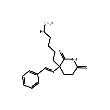 O=C(O)NCCCCC1(/N=C/c2ccccc2)CCC(=O)NC1=O